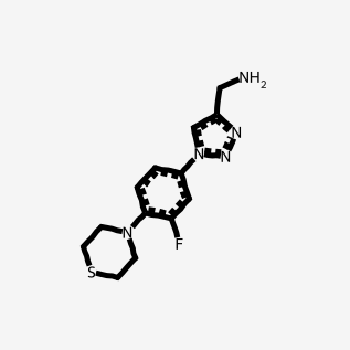 NCc1cn(-c2ccc(N3CCSCC3)c(F)c2)nn1